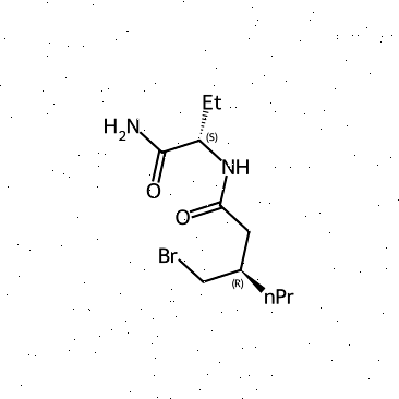 CCC[C@@H](CBr)CC(=O)N[C@@H](CC)C(N)=O